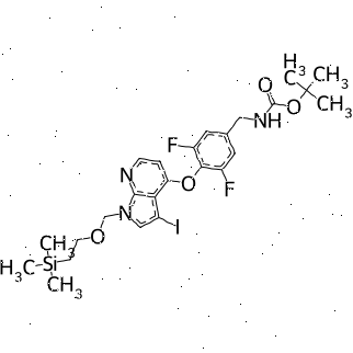 CC(C)(C)OC(=O)NCc1cc(F)c(Oc2ccnc3c2c(I)cn3COCC[Si](C)(C)C)c(F)c1